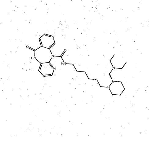 CCN(CC)C[C@H]1CCCCN1CCCCCCNC(=O)N1c2ccccc2C(=O)Nc2cccnc21